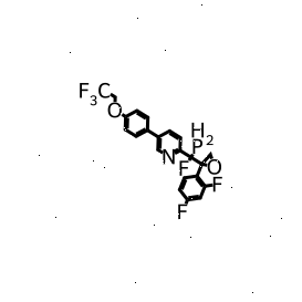 Fc1ccc(C2(C(F)(P)c3ccc(-c4ccc(OCC(F)(F)F)cc4)cn3)CO2)c(F)c1